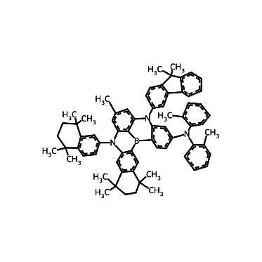 Cc1cc2c3c(c1)N(c1ccc4c(c1)C(C)(C)CCC4(C)C)c1cc4c(cc1B3c1ccc(N(c3ccccc3C)c3ccccc3C)cc1N2c1ccc2c(c1)-c1ccccc1C2(C)C)C(C)(C)CCC4(C)C